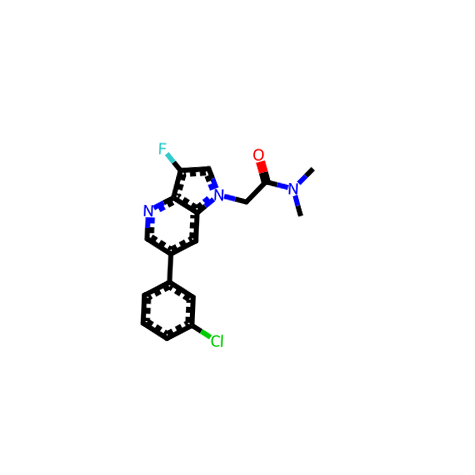 CN(C)C(=O)Cn1cc(F)c2ncc(-c3cccc(Cl)c3)cc21